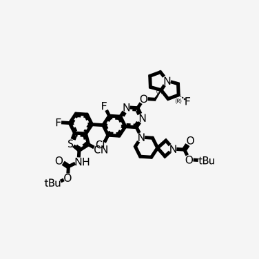 CC(C)(C)OC(=O)Nc1sc2c(F)ccc(-c3c(Cl)cc4c(N5CCCC6(CN(C(=O)OC(C)(C)C)C6)C5)nc(OC[C@@]56CCCN5C[C@H](F)C6)nc4c3F)c2c1C#N